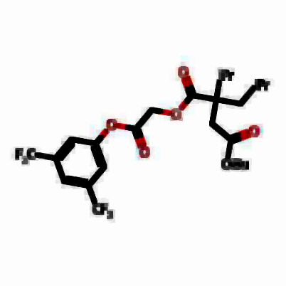 CC(C)COC(=O)CC(CC(C)C)(C(=O)OCC(=O)Oc1cc(C(F)(F)F)cc(C(F)(F)F)c1)C(C)C